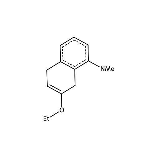 CCOC1=CCc2cccc(NC)c2C1